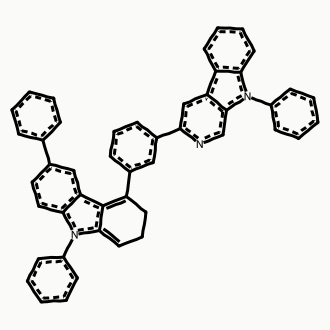 C1=c2c(c3cc(-c4ccccc4)ccc3n2-c2ccccc2)=C(c2cccc(-c3cc4c5ccccc5n(-c5ccccc5)c4cn3)c2)CC1